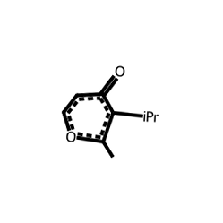 Cc1occc(=O)c1C(C)C